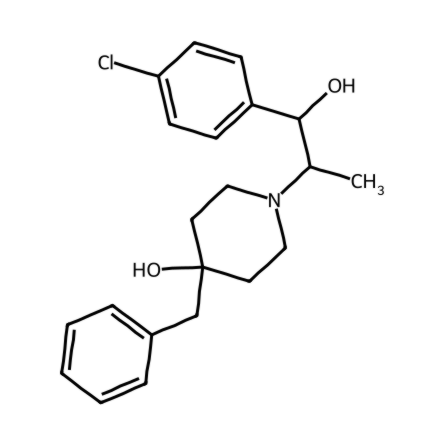 CC(C(O)c1ccc(Cl)cc1)N1CCC(O)(Cc2ccccc2)CC1